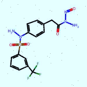 NN(N=O)C(=O)Cc1ccc(N(N)S(=O)(=O)c2cccc(C(F)(F)F)c2)cc1